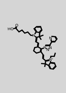 CCC[N+]1=C(/C=C/C2=C(n3cc(-c4ccccn4)nn3)C(=C/C=C3/N(CCCCCC(=O)O)c4ccccc4C3(C)C)/CCC2)C(C)(C)c2ccccc21